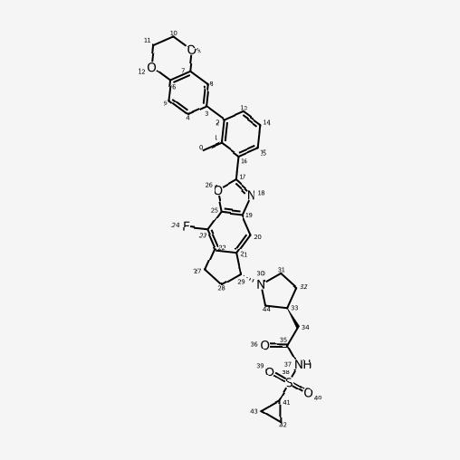 Cc1c(-c2ccc3c(c2)OCCO3)cccc1-c1nc2cc3c(c(F)c2o1)CC[C@H]3N1CC[C@@H](CC(=O)NS(=O)(=O)C2CC2)C1